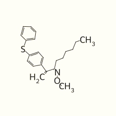 C=C(/C(CCCCCC)=N\OC)c1ccc(Sc2ccccc2)cc1